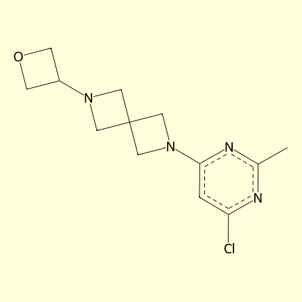 Cc1nc(Cl)cc(N2CC3(C2)CN(C2COC2)C3)n1